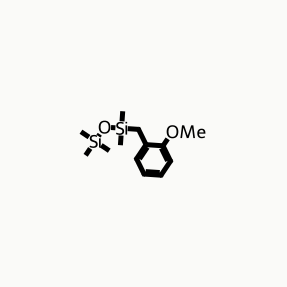 COc1ccccc1C[Si](C)(C)O[Si](C)(C)C